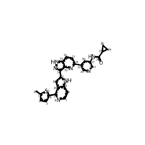 Cc1ccc(-c2nccc3[nH]c(-c4n[nH]c5ccc(-c6cncc(NC(=O)C7CC7)c6)nc45)cc23)s1